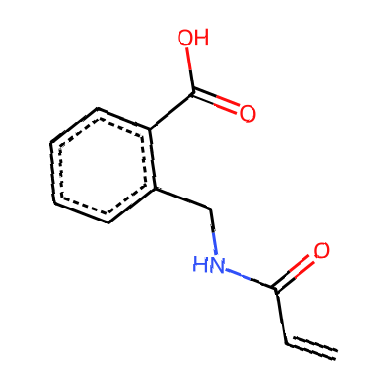 C=CC(=O)NCc1ccccc1C(=O)O